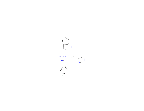 Fc1ccc(Sc2nnc(CC3C=Nc4cc(F)ccc43)n2CCCc2c[nH]cn2)cc1